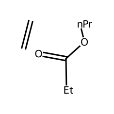 C=C.CCCOC(=O)CC